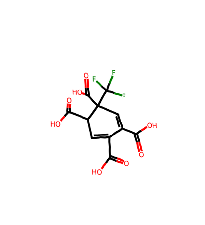 O=C(O)C1=CC(C(=O)O)C(C(=O)O)(C(F)(F)F)C=C1C(=O)O